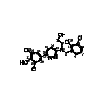 OCCN(Cc1cccc(Cl)c1Cl)c1ccc(-c2cc(Cl)c(O)c(Cl)c2)nn1